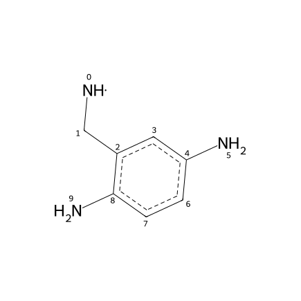 [NH]Cc1cc(N)ccc1N